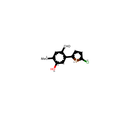 COc1cc(C=O)c(-c2ccc(Cl)s2)cc1O